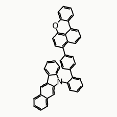 c1ccc2c(c1)Oc1ccc(-c3ccc(-c4ccccc4-n4c5ccccc5c5cc6ccccc6cc54)cc3)c3cccc-2c13